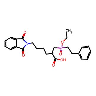 CCOP(=O)(CCc1ccccc1)CC(CCCCN1C(=O)c2ccccc2C1=O)C(=O)O